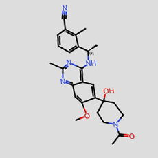 COc1cc2nc(C)nc(N[C@H](C)c3cccc(C#N)c3C)c2cc1C1(O)CCN(C(C)=O)CC1